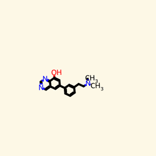 CN(C)CCc1cccc(-c2cc(O)c3ncncc3c2)c1